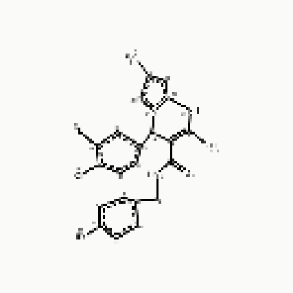 CC1=C(C(=O)NCc2ccc(C(C)C)cc2)C(c2ccc(Cl)c(Cl)c2)n2nc(C(F)(F)F)cc2N1